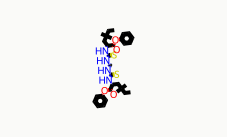 CCC(C)(C)CC(NC(=S)NCNC(=S)NC(CC(C)(C)CC)C(=O)Oc1ccccc1)C(=O)Oc1ccccc1